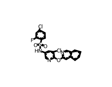 O=S(=O)(Nc1cnc(Oc2cc3ccccc3cn2)c(Cl)c1)c1ccc(Cl)cc1F